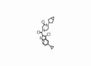 O=C(c1nn2ccc(C3CC3)cc2c1Cl)N1CCN(C2CC3CC3C2)C(=O)C1